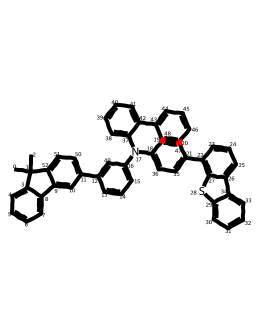 CC1(C)c2ccccc2-c2cc(-c3cccc(N(c4ccc(-c5cccc6c5sc5ccccc56)cc4)c4ccccc4-c4ccccc4)c3)ccc21